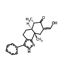 C[C@@H]1C(=O)/C(=C\O)C[C@]2(C)c3n[nH]c(-c4ccccc4)c3CC[C@@H]12